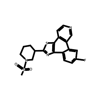 CS(=O)(=O)N1CCCC(c2nc3c4ccc(F)cc4c4cnccc4c3s2)C1